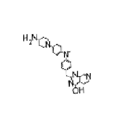 CN(c1ccc(Cc2nc(O)c3ccncc3n2)cc1)c1ccc(N2CCC(N)CC2)cc1